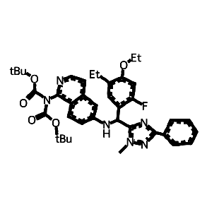 CCOc1cc(F)c(C(Nc2ccc3c(N(C(=O)OC(C)(C)C)C(=O)OC(C)(C)C)nccc3c2)c2nc(-c3ccccc3)nn2C)cc1CC